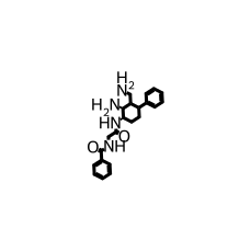 NCC1C(c2ccccc2)CC[C@@H](NC(=O)CNC(=O)c2ccccc2)[C@H]1N